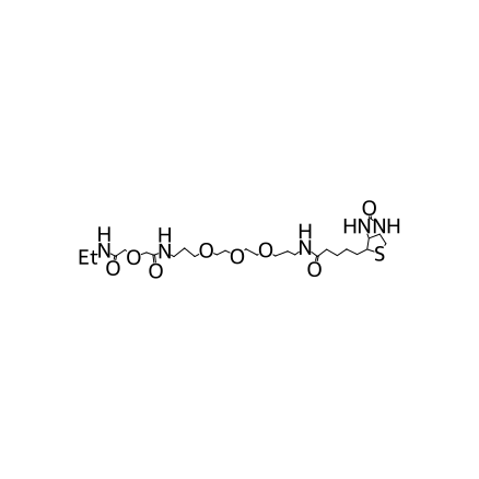 CCNC(=O)COCC(=O)NCCCOCCOCCOCCCNC(=O)CCCCC1SCC2NC(=O)NC21